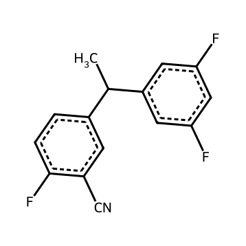 CC(c1cc(F)cc(F)c1)c1ccc(F)c(C#N)c1